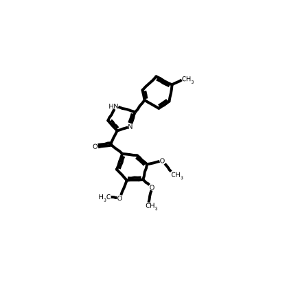 COc1cc(C(=O)c2c[nH]c(-c3ccc(C)cc3)n2)cc(OC)c1OC